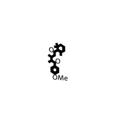 COc1ccc(C(=O)C(C)C(C)CC(=O)C2=C(C)C=CCC2(C)C)cc1